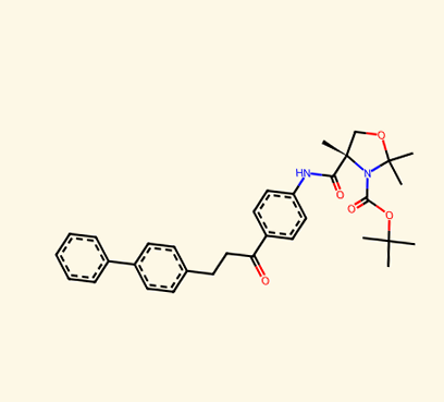 CC(C)(C)OC(=O)N1C(C)(C)OC[C@@]1(C)C(=O)Nc1ccc(C(=O)CCc2ccc(-c3ccccc3)cc2)cc1